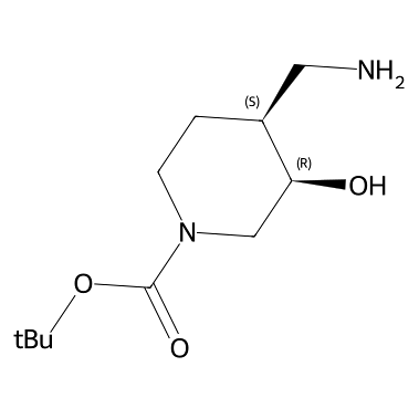 CC(C)(C)OC(=O)N1CC[C@@H](CN)[C@@H](O)C1